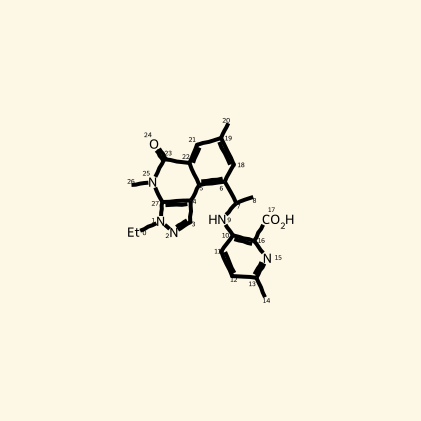 CCn1ncc2c3c(C(C)Nc4ccc(C)nc4C(=O)O)cc(C)cc3c(=O)n(C)c21